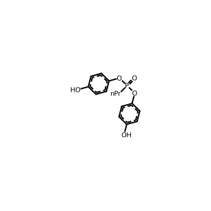 CCCP(=O)(Oc1ccc(O)cc1)Oc1ccc(O)cc1